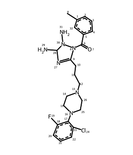 Cc1cccc(C(=O)N2C(CCCN3CCN(c4c(F)cccc4Cl)CC3)=NC(N)N2N)c1